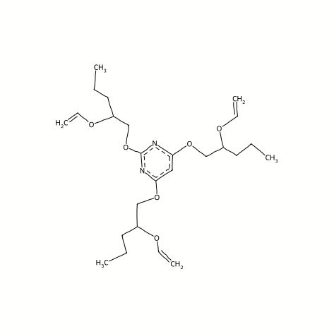 C=COC(CCC)COc1cc(OCC(CCC)OC=C)nc(OCC(CCC)OC=C)n1